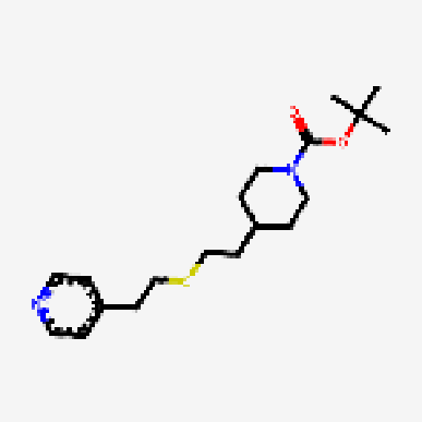 CC(C)(C)OC(=O)N1CCC(CCSCCc2ccncc2)CC1